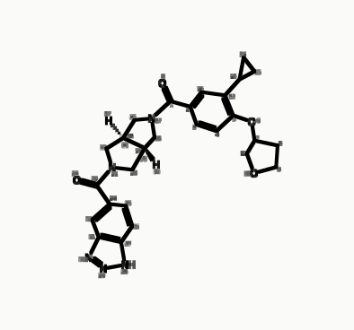 O=C(c1ccc(OC2CCOC2)c(C2CC2)c1)N1C[C@@H]2CN(C(=O)c3ccc4[nH]nnc4c3)C[C@H]2C1